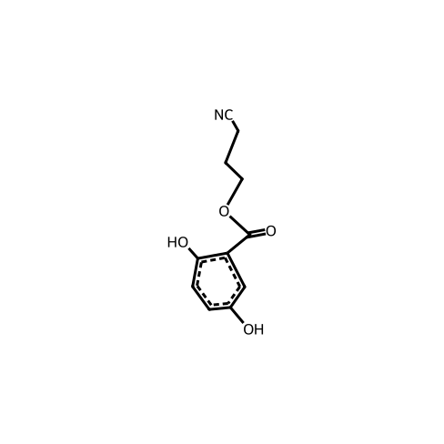 N#CCCCOC(=O)c1cc(O)ccc1O